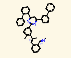 C/N=C/c1ccccc1/C=C(\C)c1cc(-c2nc(-c3cccc(-c4ccccc4)c3)cc(-c3ccccc3-c3ccccc3)n2)ccc1C